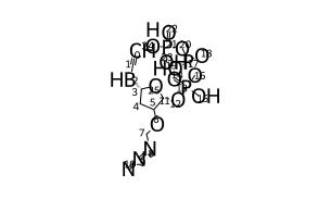 C#CB[C@H]1CC(OCN=[N+]=[N-])[C@@H](OP(=O)(O)OP(=O)(O)OP(=O)(O)O)O1